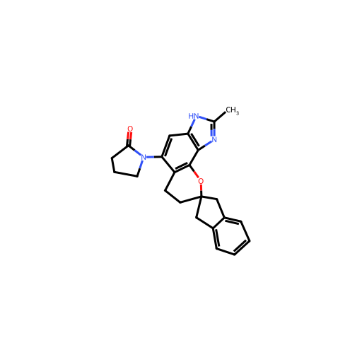 Cc1nc2c3c(c(N4CCCC4=O)cc2[nH]1)CCC1(Cc2ccccc2C1)O3